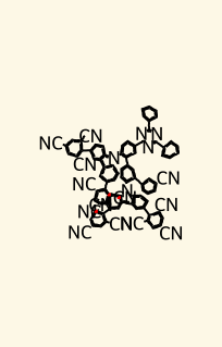 N#Cc1cccc(-c2cc(-c3cc(-c4nc(-c5ccccc5)nc(-c5ccccc5)n4)ccc3-n3c4ccc(-c5c(C#N)cc(C#N)cc5C#N)cc4c4cc(-c5c(C#N)cc(C#N)cc5C#N)ccc43)ccc2-n2c3ccc(-c4c(C#N)cc(C#N)cc4C#N)cc3c3cc(-c4c(C#N)cc(C#N)cc4C#N)ccc32)c1